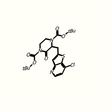 CC(C)(C)OC(=O)N1CCN(C(=O)OC(C)(C)C)C(Cc2cc3nccc(Cl)c3s2)C1=O